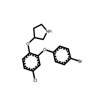 Clc1ccc(OC2CCNC2)c(Oc2ccc(Br)cc2)c1